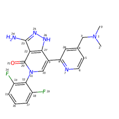 CN(C)Cc1ccnc(-c2cn(-c3c(F)cccc3F)c(=O)c3c(N)n[nH]c23)c1